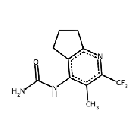 Cc1c(C(F)(F)F)nc2c(c1NC(N)=O)CCC2